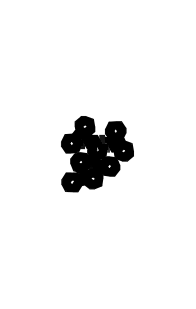 c1ccc([Si](c2ccccc2)(c2cc(-n3c4ccccc4c4ccccc43)nc(-n3c4ccccc4c4ccccc43)c2)c2cccc3c2sc2ccccc23)cc1